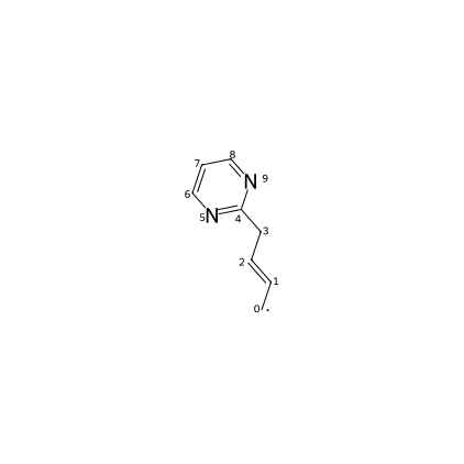 [CH2]C=CCc1ncccn1